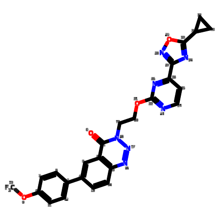 O=c1c2cc(-c3ccc(OC(F)(F)F)cc3)ccc2nnn1CCOc1nccc(-c2noc(C3CC3)n2)n1